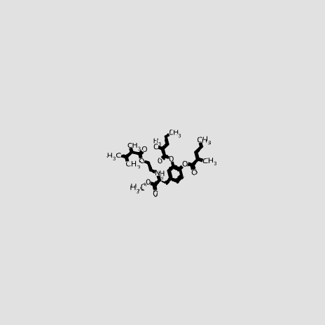 CCCC(C)C(=O)Oc1ccc(C[C@H](NCCOC(=O)C(C)C(C)C)C(=O)OC)cc1OC(=O)C(C)CCC